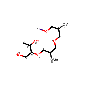 COC(COI)COCC(COC(CO)C(C)O)OC